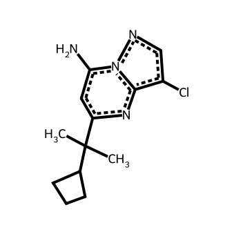 CC(C)(c1cc(N)n2ncc(Cl)c2n1)C1CCC1